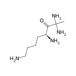 CC(N)(N)C(=O)[C@@H](N)CCCCN